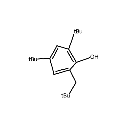 CC(C)(C)Cc1cc(C(C)(C)C)cc(C(C)(C)C)c1O